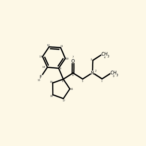 CCN(CC)CC(=O)C1(c2ccccc2F)CCCC1